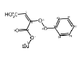 CC(C)(C)OC(=O)C(=CC(=O)O)OOc1ccccc1